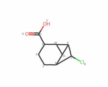 O=C(O)C1CCC2C(Cl)C3C1C23